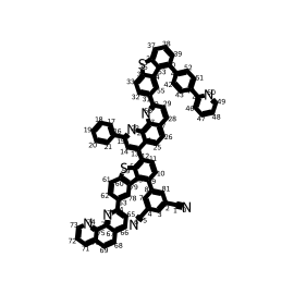 N#Cc1cc(C#N)cc(-c2ccc(-c3cc(-c4ccccc4)nc4c3ccc3ccc(-c5ccc6sc7cccc(-c8ccc(-c9ccccn9)cc8)c7c6c5)nc34)c3sc4ccc(-c5ccc6ccc7cccnc7c6n5)cc4c23)c1